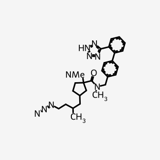 CNC1(C(=O)N(C)Cc2ccc(-c3ccccc3-c3nn[nH]n3)cc2)CCC(CC(C)CCN=[N+]=[N-])C1